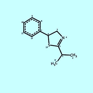 CC(C)C1=NCC(c2ccccc2)S1